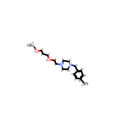 CCCCOCCCOCCN1CCN(Cc2ccc(C(C)C)cc2)CC1